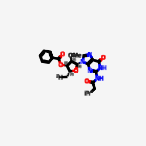 [2H]C[C@H]1O[C@@H](n2cnc3c(=O)[nH]c(NC(=O)CC(C)C)nc32)[C@H](OC)[C@@H]1OC(=O)c1ccccc1